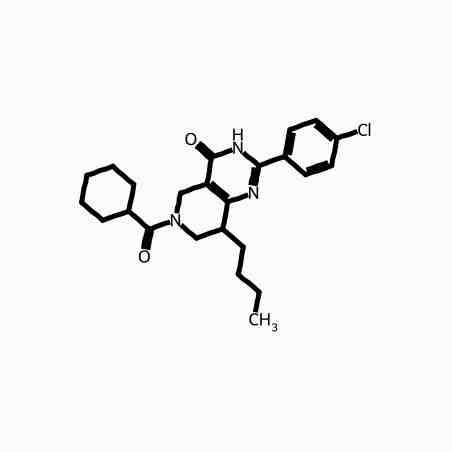 CCCCC1CN(C(=O)C2CCCCC2)Cc2c1nc(-c1ccc(Cl)cc1)[nH]c2=O